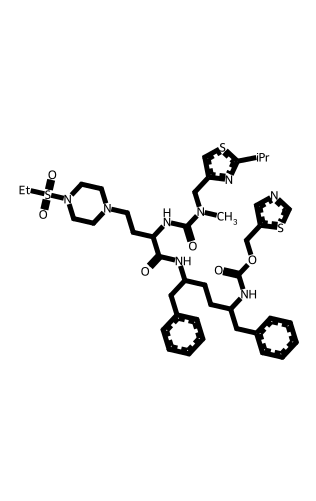 CCS(=O)(=O)N1CCN(CCC(NC(=O)N(C)Cc2csc(C(C)C)n2)C(=O)NC(CCC(Cc2ccccc2)NC(=O)OCc2cncs2)Cc2ccccc2)CC1